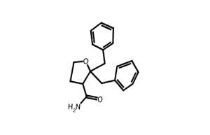 NC(=O)C1CCOC1(Cc1ccccc1)Cc1ccccc1